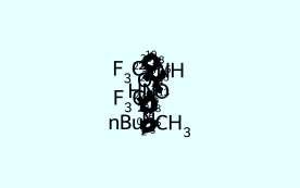 CCCCC1CCC(C)N1c1ccc(NC(=O)c2c[nH]c3cccc(C(F)(F)F)c3c2=O)c(C(F)(F)F)c1